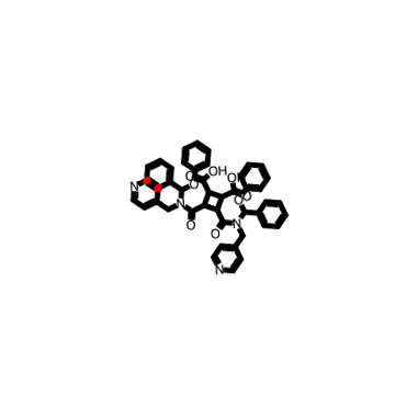 O=C(O)C1C(C(=O)O)C(C(=O)N(Cc2ccncc2)C(Oc2ccccc2)c2ccccc2)C1C(=O)N(Cc1ccncc1)C(Oc1ccccc1)c1ccccc1